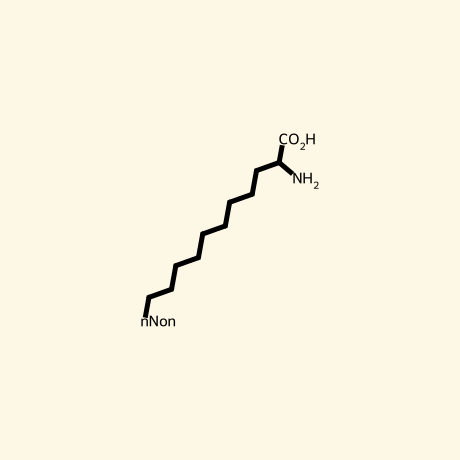 CCCCCCCCCCCCCCCCCCC(N)C(=O)O